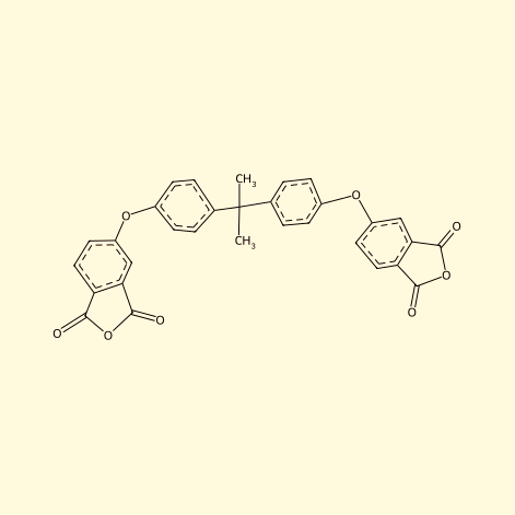 CC(C)(c1ccc(Oc2ccc3c(c2)C(=O)OC3=O)cc1)c1ccc(Oc2ccc3c(c2)C(=O)OC3=O)cc1